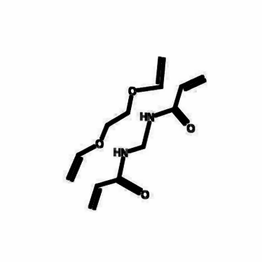 C=CC(=O)NCNC(=O)C=C.C=COCCOC=C